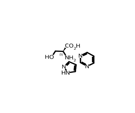 N[C@@H](CO)C(=O)O.c1cn[nH]c1.c1cncnc1